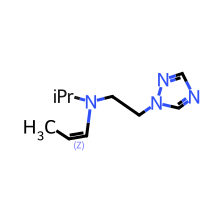 C/C=C\N(CCn1cncn1)C(C)C